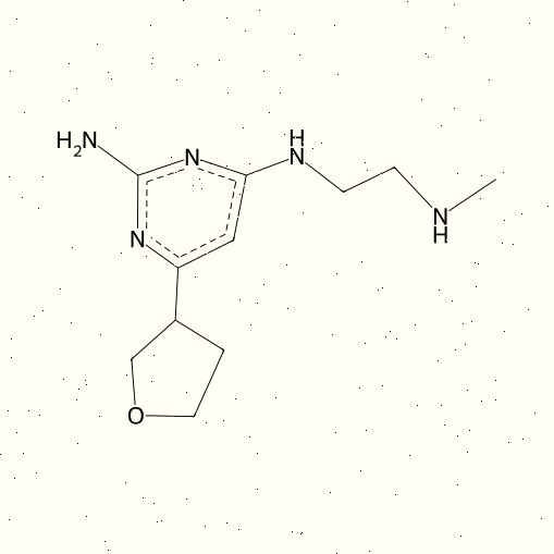 CNCCNc1cc(C2CCOC2)nc(N)n1